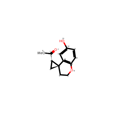 COC(=O)[C@H]1C[C@@]12CCOc1ccc(O)cc12